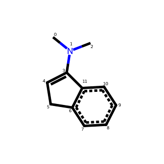 CN(C)C1=CCc2ccccc21